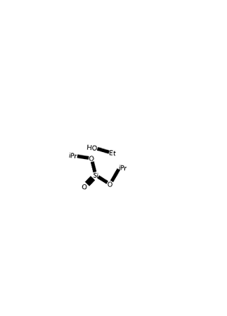 CC(C)O[Si](=O)OC(C)C.CCO